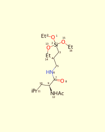 CCO[Si](CCCNC(=O)[C@H](CC(C)C)NC(C)=O)(OCC)OCC